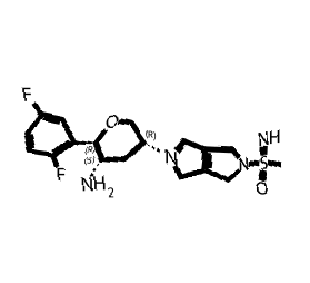 CS(=N)(=O)N1CC2=C(CN([C@H]3CO[C@H](c4cc(F)ccc4F)[C@@H](N)C3)C2)C1